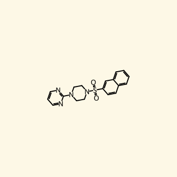 O=S(=O)(c1ccc2ccccc2c1)N1CCN(c2ncccn2)CC1